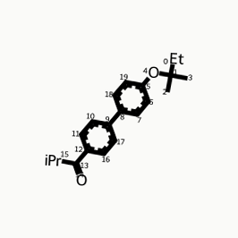 CCC(C)(C)Oc1ccc(-c2ccc(C(=O)C(C)C)cc2)cc1